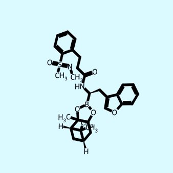 CN=S(C)(=O)c1ccccc1CCC(=O)N[C@@H](Cc1coc2ccccc12)B1OC2C[C@@H]3C[C@H](C2(C)O1)C3(C)C